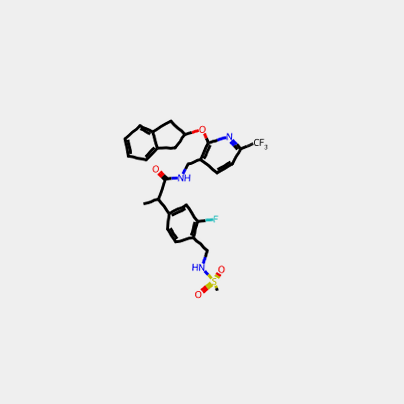 CC(C(=O)NCc1ccc(C(F)(F)F)nc1OC1Cc2ccccc2C1)c1ccc(CNS(C)(=O)=O)c(F)c1